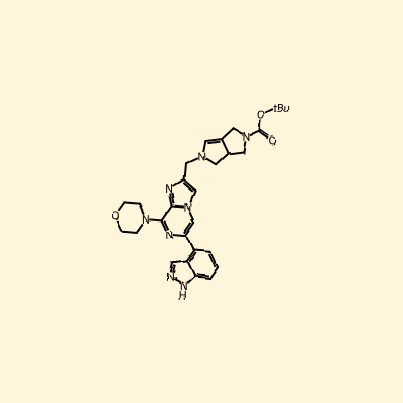 CC(C)(C)OC(=O)N1CC2=CN(Cc3cn4cc(-c5cccc6[nH]ncc56)nc(N5CCOCC5)c4n3)CC2C1